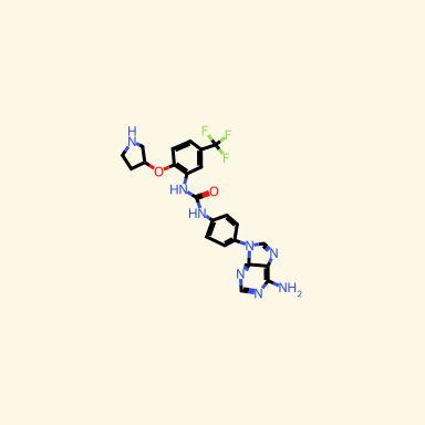 Nc1ncnc2c1ncn2-c1ccc(NC(=O)Nc2cc(C(F)(F)F)ccc2OC2CCNC2)cc1